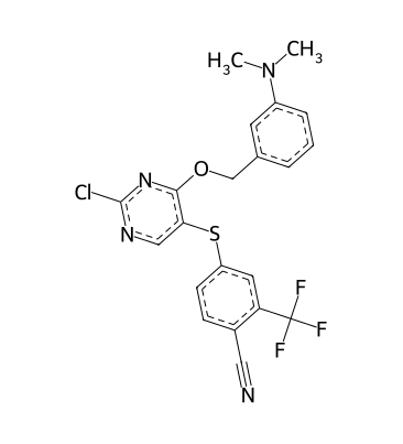 CN(C)c1cccc(COc2nc(Cl)ncc2Sc2ccc(C#N)c(C(F)(F)F)c2)c1